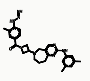 Cc1cc(C)cc(Nc2ncc3c(n2)CCCN(C2CN(C(=O)c4ccc(NN=N)c(C)c4)C2)C3)c1